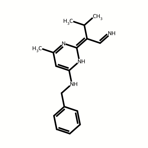 CC1=N/C(=C(/C=N)C(C)C)NC(NCc2ccccc2)=C1